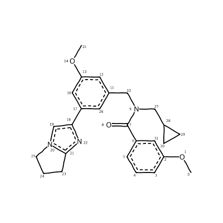 COc1cccc(C(=O)N(Cc2cc(OC)cc(-c3cn4c(n3)CCC4)c2)CC2CC2)c1